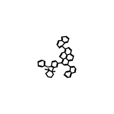 CC12CCCCC1(C)c1cc(-c3cc(-c4cccc5ccccc45)c4ccc5ccc(-c6cccc7ccccc67)c6ccc3c4c56)ccc1B2c1ccccc1